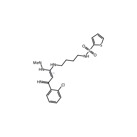 CNN/C(=C\C(=N)c1ccccc1Cl)NCCCCNS(=O)(=O)c1cccs1